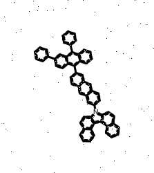 c1ccc(-c2ccc3c(-c4ccc5cc6cc(-n7c8ccc9ccccc9c8c8c9ccccc9ccc87)ccc6cc5c4)c4ccccc4c(-c4ccccc4)c3c2)cc1